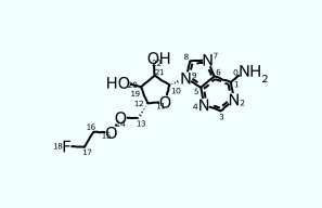 Nc1ncnc2c1ncn2[C@@H]1O[C@H](COOCCF)C(O)C1O